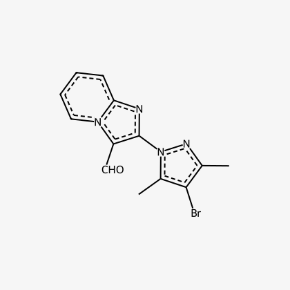 Cc1nn(-c2nc3ccccn3c2C=O)c(C)c1Br